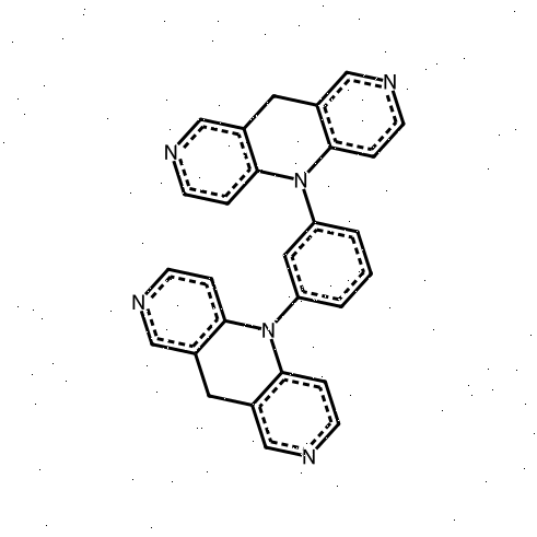 c1cc(N2c3ccncc3Cc3cnccc32)cc(N2c3ccncc3Cc3cnccc32)c1